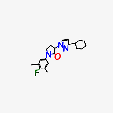 Cc1cc(N2CCC(n3ccc(C4CCCCC4)n3)C2=O)cc(C)c1F